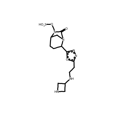 O=C1N2CC(CCC2c2nnc(CCNC3CNC3)o2)N1OS(=O)(=O)O